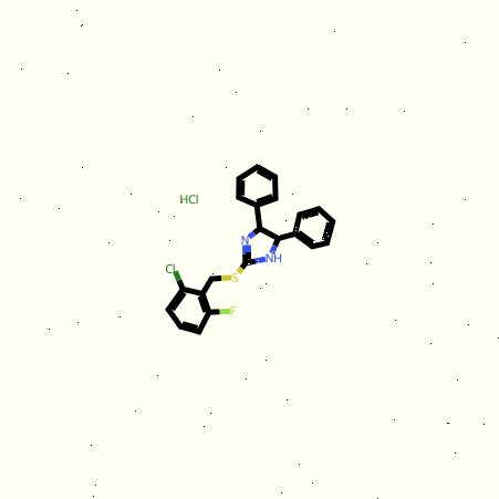 Cl.Fc1cccc(Cl)c1CSC1=NC(c2ccccc2)C(c2ccccc2)N1